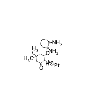 CC(=O)C1C(=O)CC(C)(C)CC1=O.N[C@@H]1CCCC[C@H]1N.[OH][Pt]